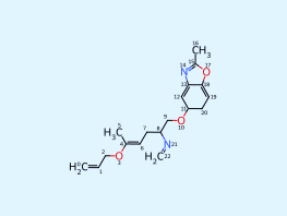 C=CCO/C(C)=C/CC(COC1C=c2nc(C)oc2=CC1)N=C